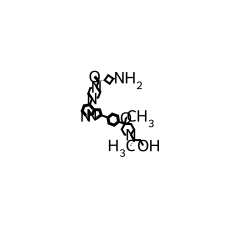 COC1(c2ccc(-c3cc4c(N5CCN(C(=O)[C@H]6C[C@H](N)C6)CC5)ccnn4c3)cc2)CCN([C@@H](C)CO)CC1